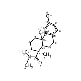 CN(C)C(=O)[C@@]1(C)CCCC2(C)c3cc(O)ccc3CCC21